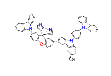 N#Cc1ccc2c(c1)c1cc(-c3ccc4c(c3)C3(c5cc(-n6c7ccccc7c7ccccc76)ccc5O4)c4cccnc4-c4ncccc43)ccc1n2-c1ccc(-n2c3ccccc3c3ccccc32)cc1